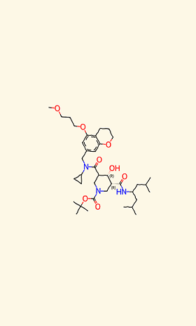 COCCCOc1cc(CN(C(=O)C2CN(C(=O)OC(C)(C)C)C[C@@H](C(=O)NC(CC(C)C)CC(C)C)[C@H]2O)C2CC2)cc2c1CCCO2